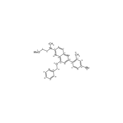 COCCN(C)c1ccc2nc(-c3ccc(C(C)(C)C)cc3C)cc(OCc3ccccc3)c2n1